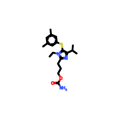 CCn1c(CCCOC(N)=O)nc(C(C)C)c1Sc1cc(C)cc(C)c1